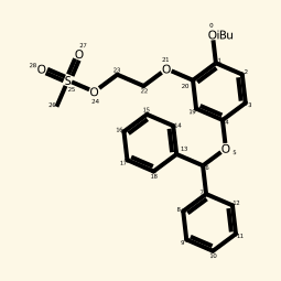 CC(C)COc1ccc(OC(c2ccccc2)c2ccccc2)cc1OCCOS(C)(=O)=O